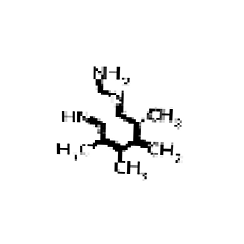 C=C(/C(C)=C(/C)C=N)[C@@H](C)/C=N/CN